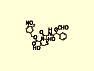 O=COC(C(=O)NC1C(=O)N2C(C(=O)OCc3ccc([N+](=O)[O-])cc3)=C(O)CS[C@@H]12)c1ccccc1